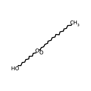 CCCCCCCCCCCCCCCCCC(=O)OCCCCCCCCCCO